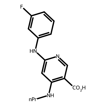 CCCNc1cc(Nc2cccc(F)c2)ncc1C(=O)O